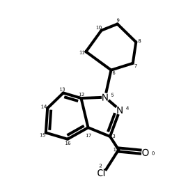 O=C(Cl)c1nn(C2CCCCC2)c2ccccc12